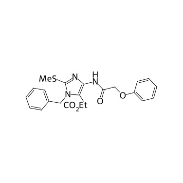 CCOC(=O)c1c(NC(=O)COc2ccccc2)nc(SC)n1Cc1ccccc1